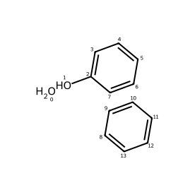 O.Oc1ccccc1.c1ccccc1